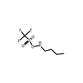 CCCCPOS(=O)(=O)C(F)(F)F